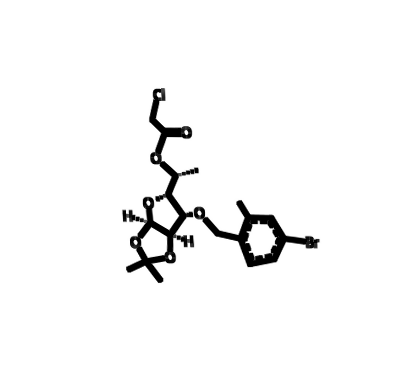 Cc1cc(Br)ccc1CO[C@@H]1[C@H]2OC(C)(C)O[C@H]2O[C@@H]1[C@@H](C)OC(=O)CCl